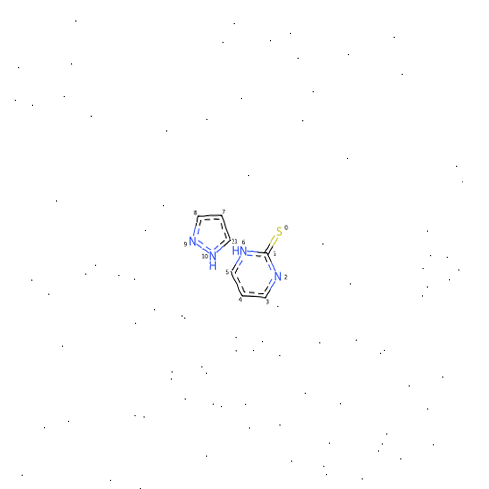 S=c1nccc[nH]1.c1cn[nH]c1